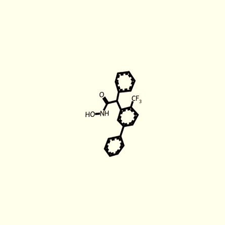 O=C(NO)C(c1ccccc1)c1cc(-c2ccccc2)ccc1C(F)(F)F